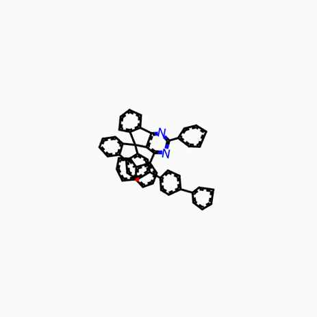 c1ccc(-c2ccc(-c3ccc4c(c3)C3(c5ccccc5-4)c4ccccc4-c4nc(-c5ccccc5)nc(-c5cccc6ccccc56)c43)cc2)cc1